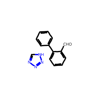 O=Cc1ccccc1-c1ccccc1.c1nnn[nH]1